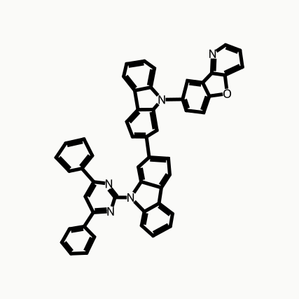 c1ccc(-c2cc(-c3ccccc3)nc(-n3c4ccccc4c4ccc(-c5ccc6c7ccccc7n(-c7ccc8oc9cccnc9c8c7)c6c5)cc43)n2)cc1